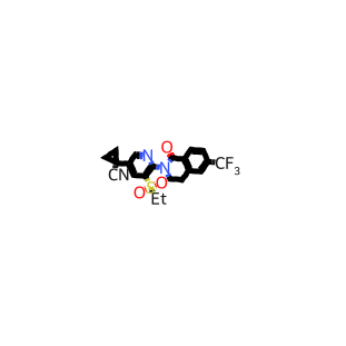 CCS(=O)(=O)c1cc(C2(C#N)CC2)cnc1N1CCc2cc(C(F)(F)F)ccc2C1=O